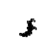 Cc1nc2cc(NCC(F)(F)F)ccc2c(=O)n1-c1ccc(NC(=O)NS(=O)(=O)c2ccc(Cl)s2)cc1F